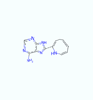 Nc1ncnc2[nH]c(C3=CC=CC=CN3)nc12